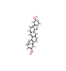 COc1ccc2sc3c4cc5ccc6c7cc(OC)ccc7sc6c5cc4ccc3c2c1